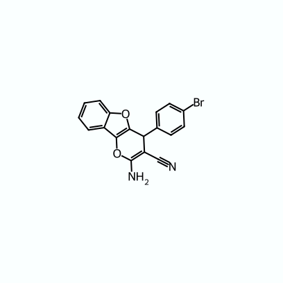 N#CC1=C(N)Oc2c(oc3ccccc23)C1c1ccc(Br)cc1